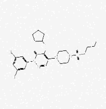 O=c1c(OC2CCCC2)c(N2CCN(S(=O)(=O)CCCF)CC2)cnn1-c1cc(Cl)cc(Cl)c1